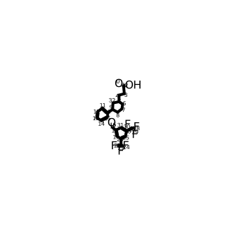 O=C(O)CCC1CCCC(c2ccccc2OCc2cc(C(F)(F)F)cc(C(F)(F)F)c2)C1